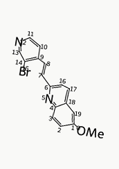 COc1ccc2nc(/C=C/c3ccncc3Br)ccc2c1